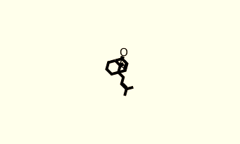 CC(C)=CCC12C=CC(=O)C(CCC1)C2=O